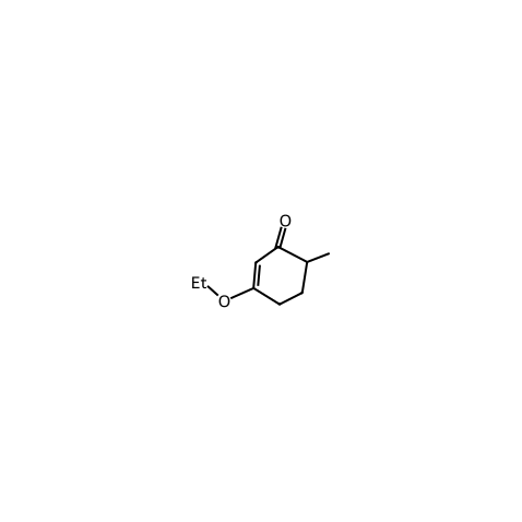 CCOC1=CC(=O)C(C)CC1